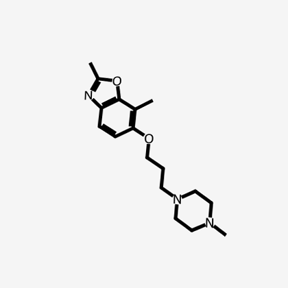 Cc1nc2ccc(OCCCN3CCN(C)CC3)c(C)c2o1